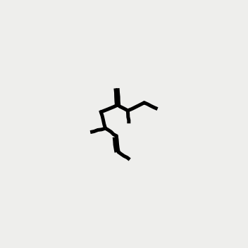 C=C(CC(C)C=CC)C(C)CC